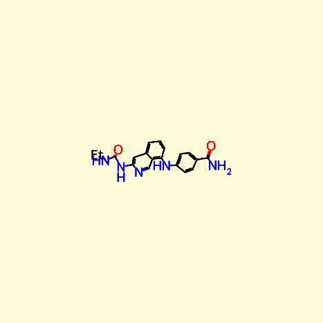 CCNC(=O)Nc1cc2cccc(Nc3ccc(C(N)=O)cc3)c2cn1